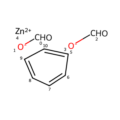 O=C[O-].O=C[O-].[Zn+2].c1ccccc1